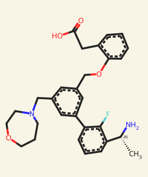 C[C@@H](N)c1cccc(-c2cc(COc3ccccc3CC(=O)O)cc(CN3CCCOCC3)c2)c1F